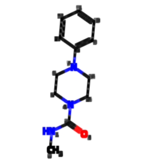 CNC(=O)N1CCN(c2ccccc2)CC1